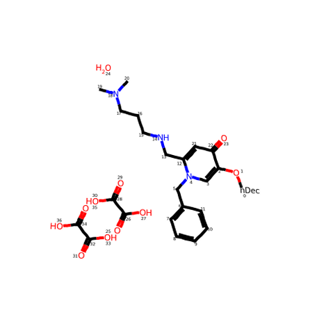 CCCCCCCCCCOc1cn(Cc2ccccc2)c(CNCCCN(C)C)cc1=O.O.O=C(O)C(=O)O.O=C(O)C(=O)O